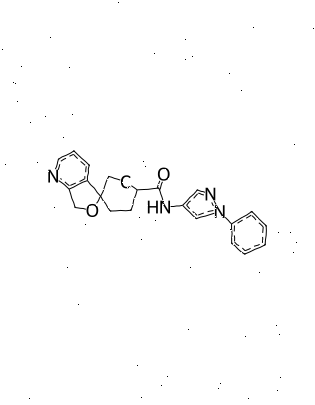 O=C(Nc1cnn(-c2ccccc2)c1)C1CCC2(CC1)OCc1ncccc12